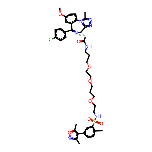 COc1ccc2c(c1)C(c1ccc(Cl)cc1)=N[C@@H](CC(=O)NCCCOCCOCCCOCCNS(=O)(=O)c1cc(-c3c(C)noc3C)ccc1C)c1nnc(C)n1-2